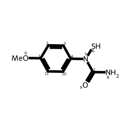 COc1ccc(N(S)C(N)=O)cc1